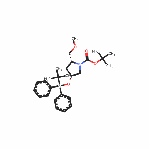 COC[C@H]1C[C@@H](O[Si](c2ccccc2)(c2ccccc2)C(C)(C)C)CN1C(=O)OC(C)(C)C